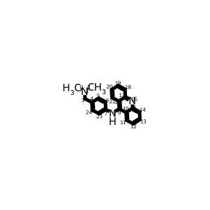 CN(C)Cc1ccc(Nc2c3ccccc3nc3ccccc23)cc1